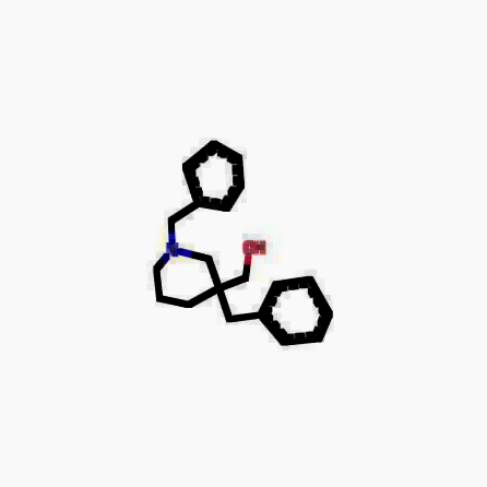 OCC1(Cc2ccccc2)CCCN(Cc2ccccc2)C1